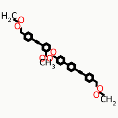 C=CC(=O)OCCc1ccc(C#Cc2ccc(-c3ccc(COc4ccc(C#Cc5ccc(CCOC(=O)C=C)cc5)cc4C(=O)OC)cc3)cc2)cc1